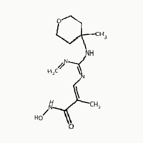 C=N/C(=N\C=C(/C)C(=O)NO)NC1(C)CCOCC1